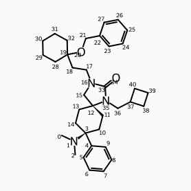 CN(C)[C@]1(c2ccccc2)CC[C@@]2(CC1)CN(CCC1(OCc3ccccc3)CCCCC1)C(=O)N2CC1CCC1